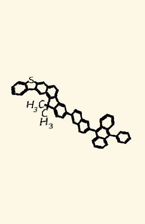 CC1(C)c2ccc(-c3ccc4cc(-c5c6ccccc6c(-c6ccccc6)c6ccccc56)ccc4c3)cc2-c2ccc3cc4sc5ccccc5c4cc3c21